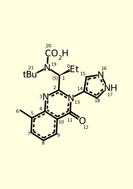 CC[C@@H](c1nc2c(C)cccc2c(=O)n1-c1cn[nH]c1)N(C(=O)O)C(C)(C)C